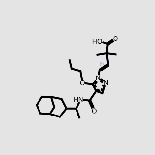 CCCOc1c(C(=O)NC(C)C2CC3CCCC(C3)C2)cnn1/C=C/C(C)(C)C(=O)O